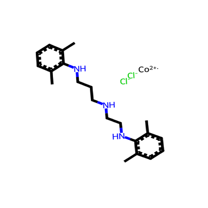 Cc1cccc(C)c1NCCCNCCNc1c(C)cccc1C.[Cl-].[Cl-].[Co+2]